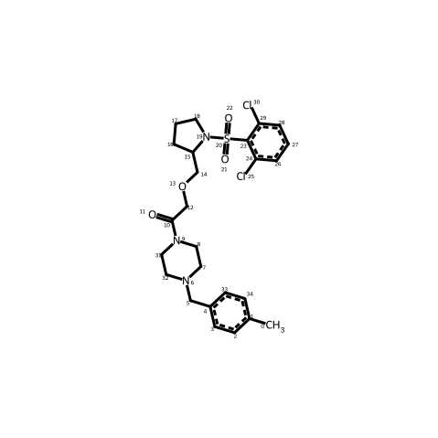 Cc1ccc(CN2CCN(C(=O)COCC3CCCN3S(=O)(=O)c3c(Cl)cccc3Cl)CC2)cc1